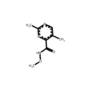 CONC(=O)c1nc(C)ncc1C